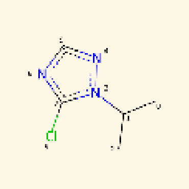 CC(C)n1n[c]nc1Cl